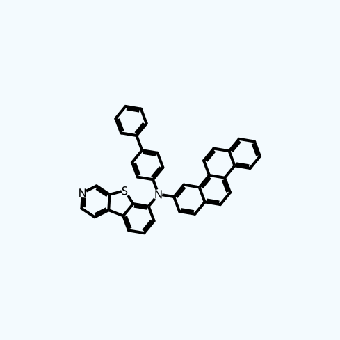 c1ccc(-c2ccc(N(c3ccc4ccc5c6ccccc6ccc5c4c3)c3cccc4c3sc3cnccc34)cc2)cc1